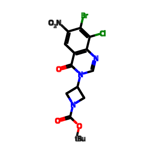 CC(C)(C)OC(=O)N1CC(n2cnc3c(Cl)c(Br)c([N+](=O)[O-])cc3c2=O)C1